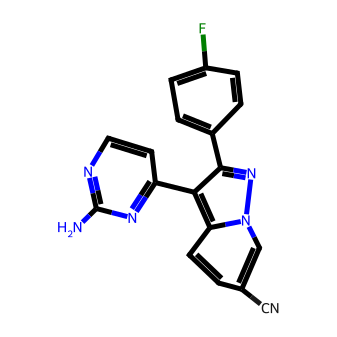 N#Cc1ccc2c(-c3ccnc(N)n3)c(-c3ccc(F)cc3)nn2c1